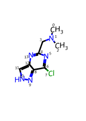 CN(C)Cc1nc(Cl)c2n[nH]cc2n1